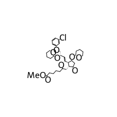 COC(=O)CCCCC(=O)C[C@H]1C(=O)C[C@@H](OC2CCCCO2)[C@@H]1/C=C/[C@@H](COc1cccc(Cl)c1)OC1CCCCO1